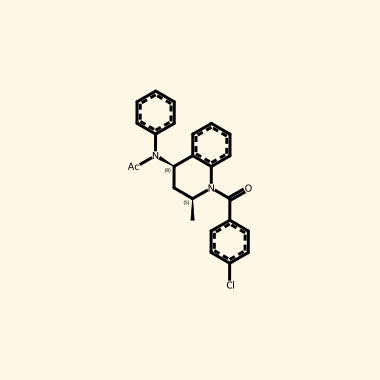 CC(=O)N(c1ccccc1)[C@@H]1C[C@H](C)N(C(=O)c2ccc(Cl)cc2)c2ccccc21